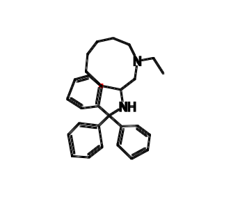 CCN1CCCCCCC(NC(c2ccccc2)(c2ccccc2)c2ccccc2)C1